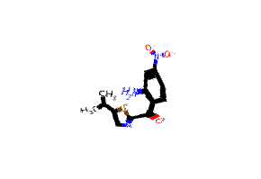 CC(C)c1cnc(C(=O)c2c[c]c([N+](=O)[O-])cc2N)s1